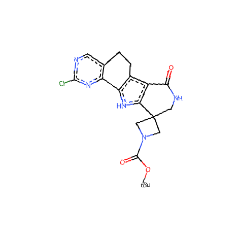 CC(C)(C)OC(=O)N1CC2(CNC(=O)c3c2[nH]c2c3CCc3cnc(Cl)nc3-2)C1